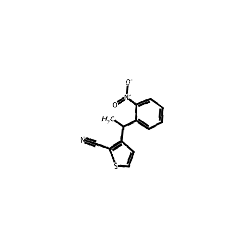 CC(c1ccccc1[N+](=O)[O-])c1ccsc1C#N